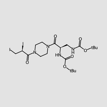 CC(C)(C)OC(=O)NC[C@@H](NC(=O)OC(C)(C)C)C(=O)N1CCN(C(=O)[C@H](I)CI)CC1